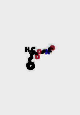 C=C(CC=Cc1ccccc1)C(=O)OCCN=C=O